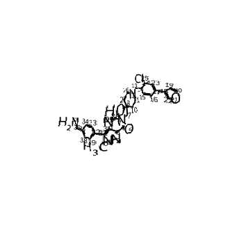 Cn1nc2c(=O)n(CC3(O)CCN(Cc4ccc(-c5ccoc5)cc4Cl)CC3)cnc2c1-c1ccc(CN)cc1